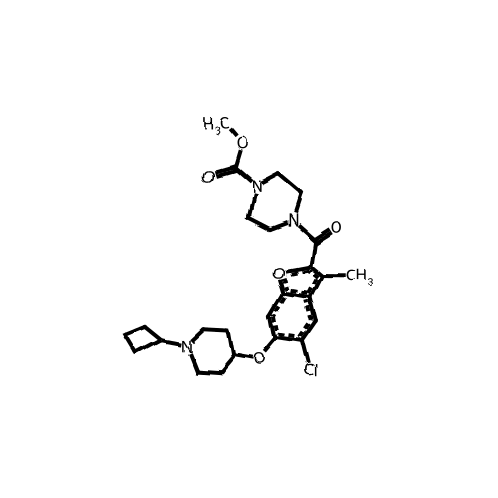 COC(=O)N1CCN(C(=O)c2oc3cc(OC4CCN(C5CCC5)CC4)c(Cl)cc3c2C)CC1